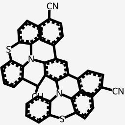 CC1c2cccc3c2N(c2ccccc2S3)c2c(-c3ccc(C#N)cc3)cc(-c3ccc(C#N)cc3)c(N3c4ccccc4Sc4ccccc43)c21